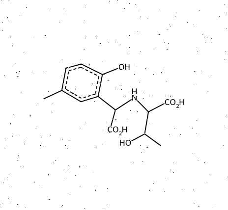 Cc1ccc(O)c(C(NC(C(=O)O)C(C)O)C(=O)O)c1